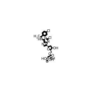 C[C@H](Nc1nc(Cl)nn2c([C@H]3C[C@H](O)[C@@H](COP(=O)(O)CP(=O)(O)O)O3)cnc12)c1ccc(Cl)cc1